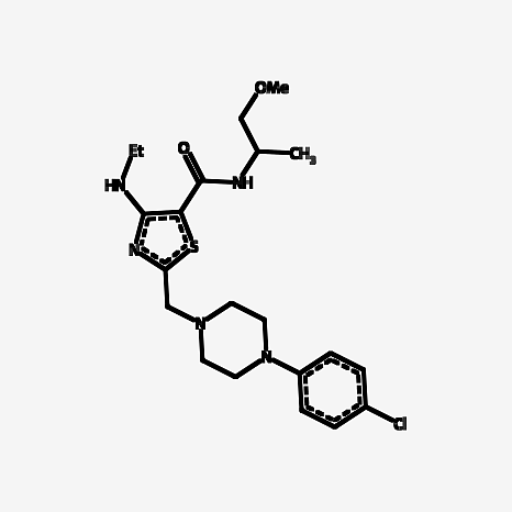 CCNc1nc(CN2CCN(c3ccc(Cl)cc3)CC2)sc1C(=O)NC(C)COC